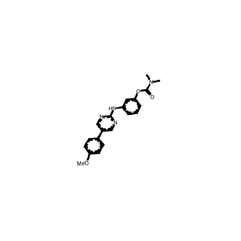 COc1ccc(-c2cnc(Nc3cccc(OC(=O)N(C)C)c3)nc2)cc1